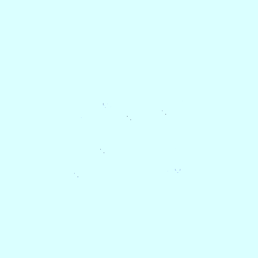 C=Cc1ncc(C(=O)OC)n1CC.CCn1c(C(=O)OC)cnc1Br